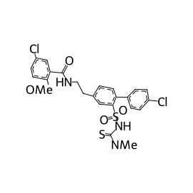 CNC(=S)NS(=O)(=O)c1cc(CCNC(=O)c2cc(Cl)ccc2OC)ccc1-c1ccc(Cl)cc1